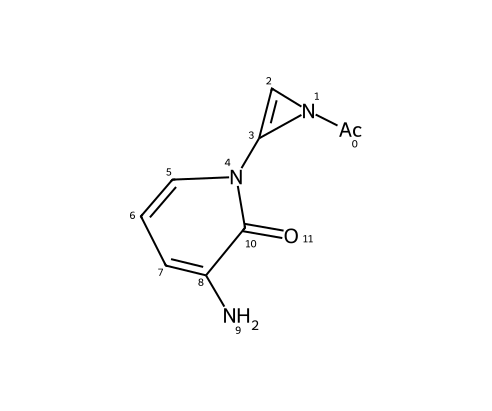 CC(=O)N1C=C1n1cccc(N)c1=O